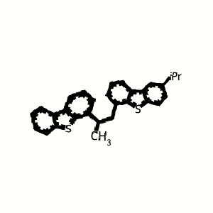 CC(C)c1ccc2sc3c(CC(C)c4cccc5c4sc4ccccc45)cccc3c2c1